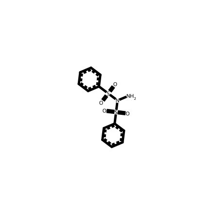 NN(S(=O)(=O)c1ccccc1)S(=O)(=O)c1ccccc1